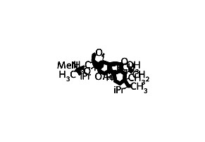 C=C(O)[C@@H]1[C@@](C)([C@H](C)C(C)C)CC[C@]2(C)[C@H]3CC[C@@H]4[C@@]5(COC[C@]4(C)[C@@H](OC[C@](C)(NC)C(C)C)[C@H](OC(C)=O)C5)C3=CC(=O)[C@@]12C